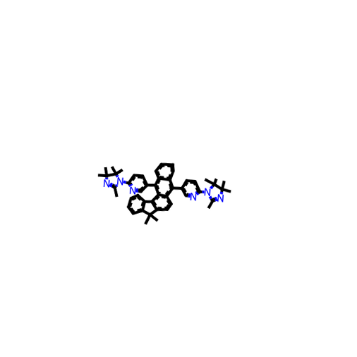 CC1=NC(C)(C)C(C)(C)N1c1ccc(-c2c3ccccc3c(-c3ccc(N4C(C)=NC(C)(C)C4(C)C)nc3)c3c4c(ccc23)C(C)(C)c2ccccc2-4)cn1